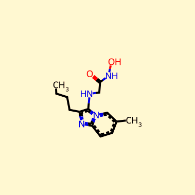 CCCCc1nc2ccc(C)cn2c1NCC(=O)NO